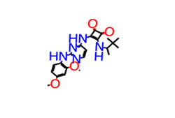 COc1ccc(Nc2nccc(Nc3c(NC(C)C(C)(C)C)c(=O)c3=O)n2)c(OC)c1